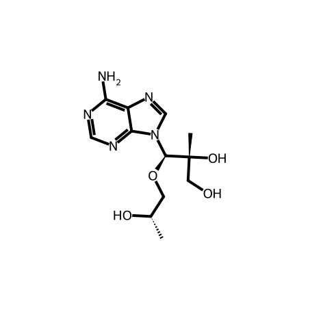 C[C@H](O)CO[C@@H](n1cnc2c(N)ncnc21)[C@](C)(O)CO